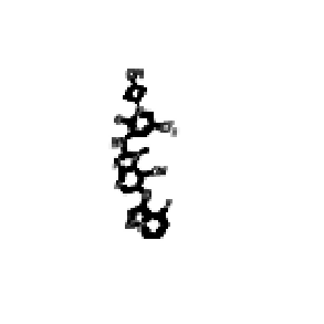 Cn1c(Nc2cc(C(F)(F)F)cn([C@H]3C[C@H](O)C3)c2=O)nc2ncc(Oc3cnn4cccc(F)c34)c(C#N)c21